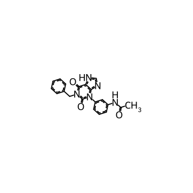 CC(=O)Nc1cccc(-n2c(=O)n(Cc3ccccc3)c(=O)c3[nH]cnc32)c1